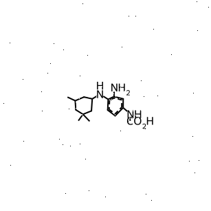 CC1CC(Nc2ccc(NC(=O)O)cc2N)CC(C)(C)C1